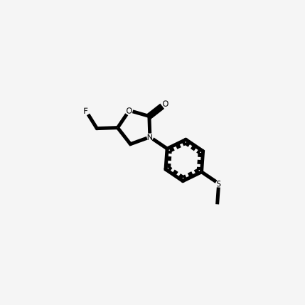 CSc1ccc(N2CC(CF)OC2=O)cc1